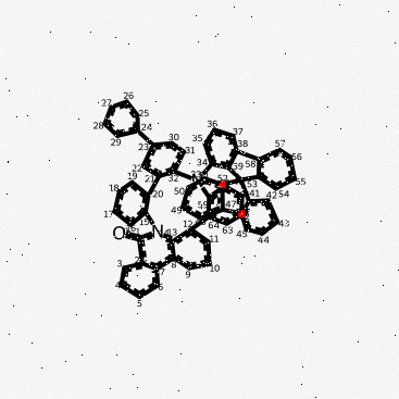 O=c1c2ccccc2c2cccc3c2n1-c1ccccc1-c1cc(-c2ccccc2)ccc1N(c1cccc2c1C1(c4ccccc4-c4ccccc41)c1ccccc1-2)c1ccccc1-3